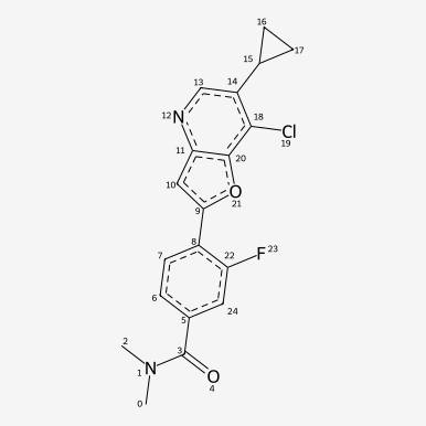 CN(C)C(=O)c1ccc(-c2cc3ncc(C4CC4)c(Cl)c3o2)c(F)c1